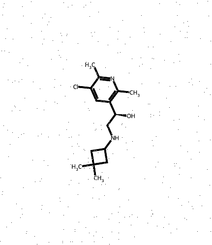 Cc1nc(C)c([C@@H](O)CNC2CC(C)(C)C2)cc1Cl